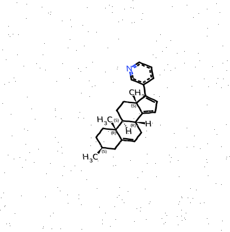 C[C@H]1CC[C@@]2(C)C(=CC[C@H]3C4=CC=C(c5cccnc5)[C@@]4(C)CC[C@@H]32)C1